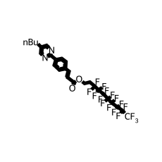 CCCCc1cnc(-c2ccc(C=CC(=O)OCCC(F)(F)C(F)(F)C(F)(F)C(F)(F)C(F)(F)C(F)(F)C(F)(F)C(F)(F)F)cc2)nc1